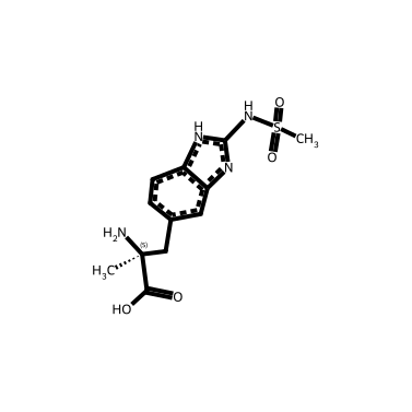 C[C@](N)(Cc1ccc2[nH]c(NS(C)(=O)=O)nc2c1)C(=O)O